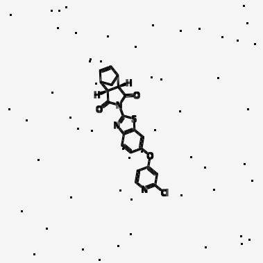 O=C1[C@@H]2C3C=CC(C3)[C@@H]2C(=O)N1c1nc2ccc(Oc3ccnc(Cl)c3)cc2s1